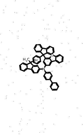 CC1(C)c2ccccc2-c2ccc(N(c3ccc(-c4ccccc4)cc3)c3cc(C4(c5ccccc5)c5ccccc5-c5ccccc54)c4oc5ccccc5c4c3)cc21